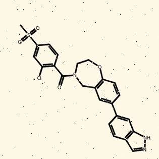 CS(=O)(=O)c1ccc(C(=O)N2CCOc3ccc(-c4ccc5cn[nH]c5c4)cc3C2)c(Cl)c1